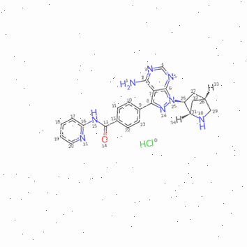 Cl.Nc1ncnc2c1c(-c1ccc(C(=O)Nc3ccccn3)cc1)nn2[C@H]1C[C@@H]2CN[C@H]1C2